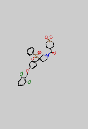 O=C(C1CCS(=O)(=O)CC1)N1CC[C@](c2ccc(OCc3c(Cl)cccc3Cl)cc2)(S(=O)(=O)c2ccccc2)C1